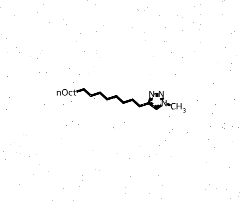 CCCCCCCCCCCCCCCCc1cn(C)nn1